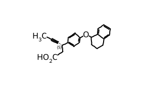 CC#C[C@@H](CC(=O)O)c1ccc(OC2CCCc3ccccc32)cc1